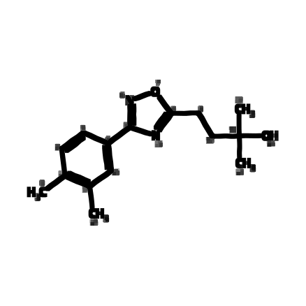 Cc1ccc(-c2noc(CCC(C)(C)O)n2)cc1C